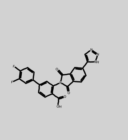 O=C(O)c1ccc(-c2ccc(F)c(F)c2)cc1N1C(=O)c2ccc(-c3cnn[nH]3)cc2C1=O